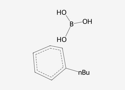 CCCCc1ccccc1.OB(O)O